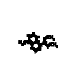 CCN(CC)c1nccc2c(C)cccc12